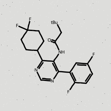 CC(C)(C)CC(=O)Nc1c(-c2cc(F)ccc2F)ncnc1C1CCC(F)(F)CC1